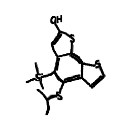 CC(C)Sc1c([Si](C)(C)C)c2cc(O)sc2c2sccc12